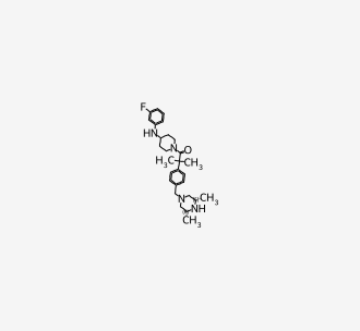 C[C@@H]1CN(Cc2ccc(C(C)(C)C(=O)N3CCC(Nc4cccc(F)c4)CC3)cc2)C[C@H](C)N1